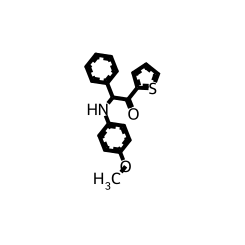 COc1ccc(NC(C(=O)c2cccs2)c2ccccc2)cc1